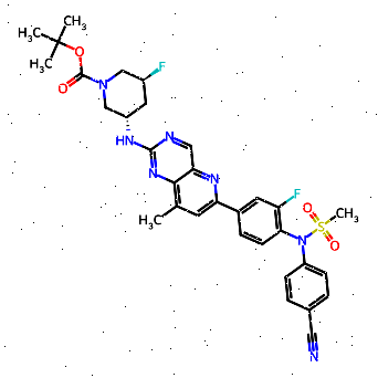 Cc1cc(-c2ccc(N(c3ccc(C#N)cc3)S(C)(=O)=O)c(F)c2)nc2cnc(N[C@H]3C[C@H](F)CN(C(=O)OC(C)(C)C)C3)nc12